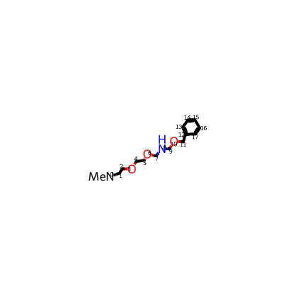 CNCCOCCOCNCOCc1ccccc1